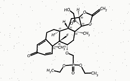 C=C1O[C@@H]2C[C@H]3[C@@H]4CCC5=CC(=O)C=C[C@]5(C)[C@@]4(F)[C@@H](OCP(=O)(OCC)OCC)C[C@]3(C)[C@]2(C(=O)CO)O1